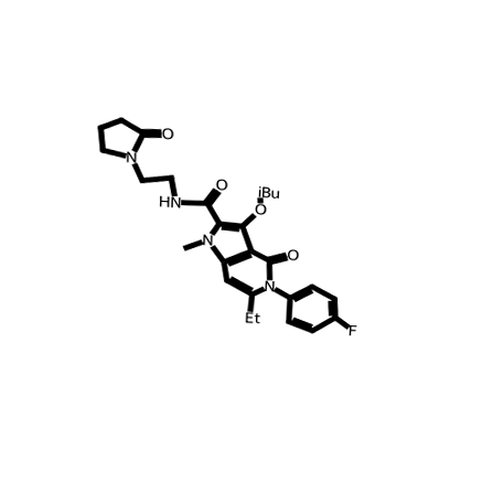 CCc1cc2c(c(OC(C)CC)c(C(=O)NCCN3CCCC3=O)n2C)c(=O)n1-c1ccc(F)cc1